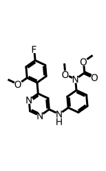 COC(=O)N(OC)c1cccc(Nc2cc(-c3ccc(F)cc3OC)ncn2)c1